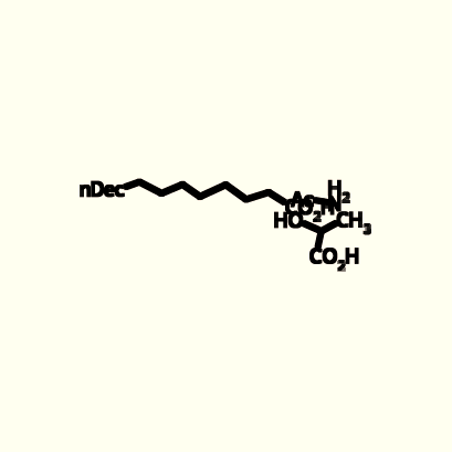 CC(N)=O.CC(O)C(=O)O.CCCCCCCCCCCCCCCCCC(=O)O